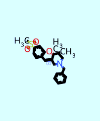 CC1(C)CN(Cc2ccccc2)C/C(=C/c2ccc(S(C)(=O)=O)cc2)C1=O